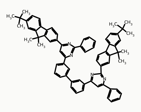 CC(C)(C)c1ccc2c(c1)C(C)(C)c1cc(-c3cc(-c4cccc(-c5cccc(-c6cc(-c7ccccc7)nc(-c7ccc8c(c7)C(C)(C)c7cc(C(C)(C)C)ccc7-8)n6)c5)c4)nc(-c4ccccc4)n3)ccc1-2